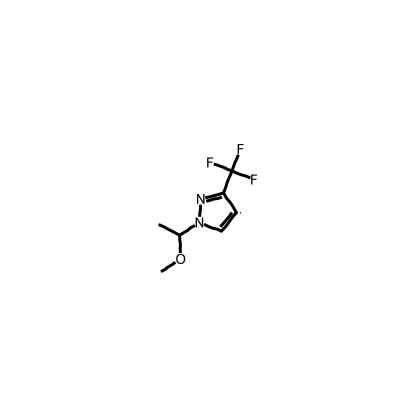 COC(C)n1c[c]c(C(F)(F)F)n1